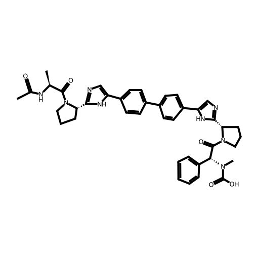 CC(=O)N[C@@H](C)C(=O)N1CCC[C@H]1c1ncc(-c2ccc(-c3ccc(-c4cnc([C@@H]5CCCN5C(=O)[C@@H](c5ccccc5)N(C)C(=O)O)[nH]4)cc3)cc2)[nH]1